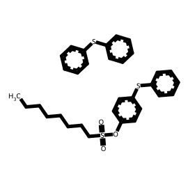 CCCCCCCCS(=O)(=O)Oc1ccc(Sc2ccccc2)cc1.c1ccc(Sc2ccccc2)cc1